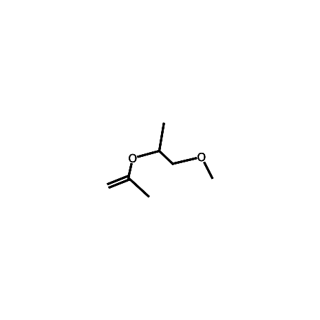 C=C(C)OC(C)COC